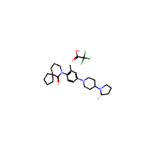 Cc1cc(N2CCC(N3CCC[C@@H]3C)CC2)ccc1N1CCCC2(CCCC2)C1=O.O=C(O)C(F)(F)F